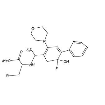 COC(=O)C(CC(C)C)NC(C1=C(N2CCOCC2)C=C(c2ccccc2)C(O)(F)C1)C(F)(F)F